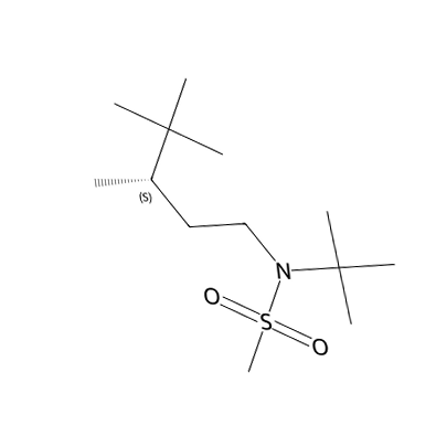 C[C@@H](CCN(C(C)(C)C)S(C)(=O)=O)C(C)(C)C